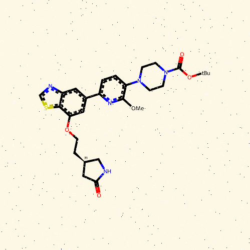 COc1nc(-c2cc(OCC[C@H]3CNC(=O)C3)c3scnc3c2)ccc1N1CCN(C(=O)OC(C)(C)C)CC1